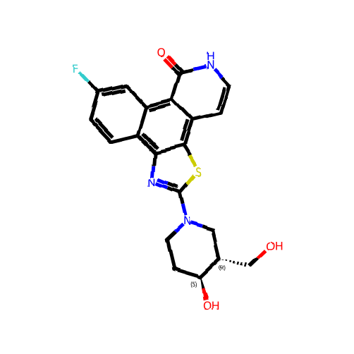 O=c1[nH]ccc2c3sc(N4CC[C@H](O)[C@@H](CO)C4)nc3c3ccc(F)cc3c12